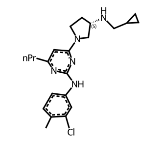 CCCc1cc(N2CC[C@H](NCC3CC3)C2)nc(Nc2ccc(C)c(Cl)c2)n1